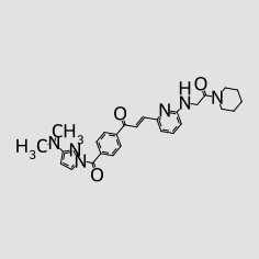 CN(C)c1ccn(C(=O)c2ccc(C(=O)C=Cc3cccc(NCC(=O)N4CCCCC4)n3)cc2)n1